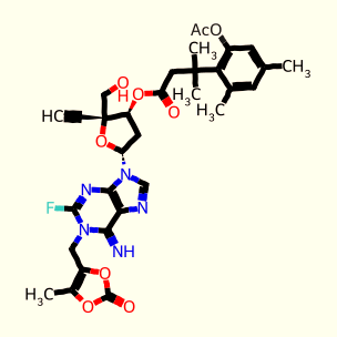 C#C[C@]1(CO)O[C@@H](n2cnc3c(=N)n(Cc4oc(=O)oc4C)c(F)nc32)C[C@@H]1OC(=O)CC(C)(C)c1c(C)cc(C)cc1OC(C)=O